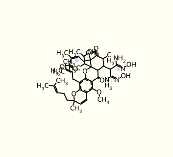 COC(=O)/C(C)=C\CC1(O)C(=O)C(C)C(C(/C(N)=N/O)/C(N)=N\O)C2C(=O)c3c(OC)c4c(c(CC=C(C)C)c3OC21C(C)C(C)C)OC(C)(CCC=C(C)C)C=C4